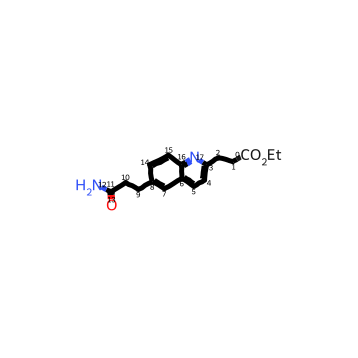 CCOC(=O)CCc1ccc2cc(CCC(N)=O)ccc2n1